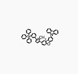 Cn1c(-c2cccc([Si](c3ccccc3)(c3ccccc3)c3ccccc3)c2)ccc1-c1ccc2oc3ccc(-n4c5ccccc5c5ccccc54)cc3c2c1